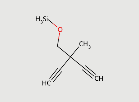 C#CC(C)(C#C)CO[SiH3]